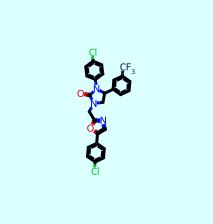 O=C1N(Cc2ncc(-c3ccc(Cl)cc3)o2)CC(c2cccc(C(F)(F)F)c2)N1c1ccc(Cl)cc1